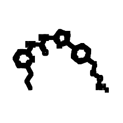 CCCc1cccc(NC(=O)Nc2csc(-c3ccc(SOON)cc3)n2)n1